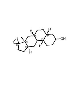 C[C@@]12C[C@@H]3CC[C@@H]4CC(O)CC[C@@H]4C3C[C@H]1CC[C@]21CO1